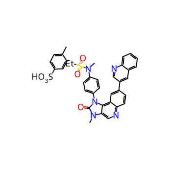 CCS(=O)(=O)N(C)c1ccc(-n2c(=O)n(C)c3cnc4ccc(-c5cnc6ccccc6c5)cc4c32)cc1.Cc1ccc(S(=O)(=O)O)cc1